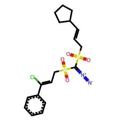 [N-]=[N+]=C(S(=O)(=O)CC=CC1CCCC1)S(=O)(=O)CC=C(Cl)c1ccccc1